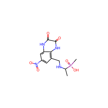 CC(NCc1cc([N+](=O)[O-])cc2[nH]c(=O)c(=O)[nH]c12)P(C)(=O)O